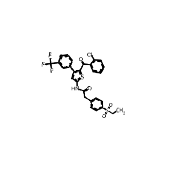 CCS(=O)(=O)c1ccc(CC(=O)Nc2cc(-c3cccc(C(F)(F)F)c3)c(C(=O)c3ccccc3Cl)s2)cc1